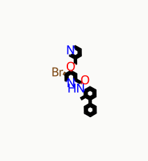 Cc1c(NC(=O)c2cc(OCc3cccnc3)c(Br)cn2)cccc1-c1ccccc1